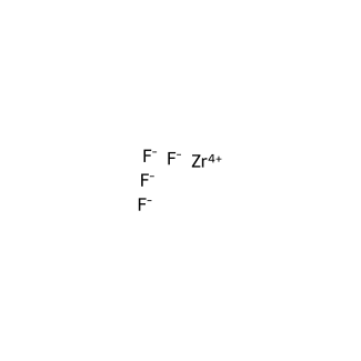 [F-].[F-].[F-].[F-].[Zr+4]